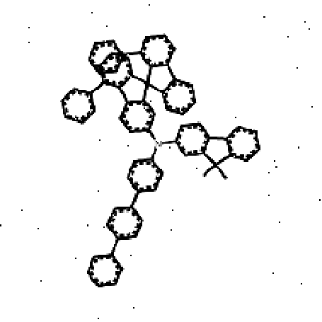 CC1(C)c2ccccc2-c2ccc(N(c3ccc(-c4ccc(-c5ccccc5)cc4)cc3)c3ccc4c(c3)C3(c5ccccc5-c5cccc(-c6ccccc6)c53)c3cccc(-c5ccccc5)c3-4)cc21